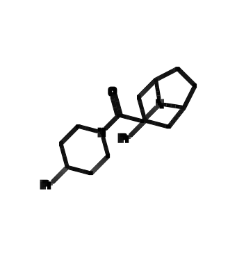 CC(C)C1CCN(C(=O)CN2C3CCC2CC(C(C)C)C3)CC1